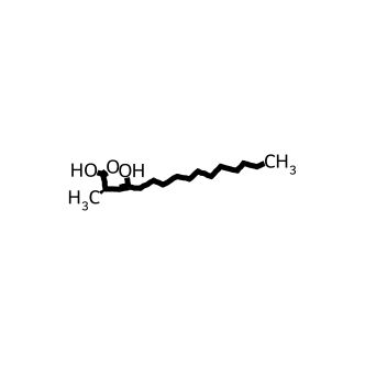 CCCCCCCCCCCCC(O)=C[C@@H](C)C(=O)O